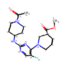 COC(=O)[C@H]1CCCN(c2nc(NC3CCN(C(C)=O)CC3)ncc2F)C1